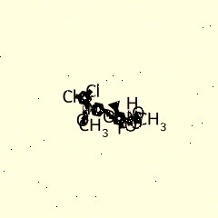 COCC[C@@H](c1cc(Cl)cc(Cl)c1)N1CCC(COc2cc(F)c(C(=O)NS(C)(=O)=O)cc2C2CC2)CC1